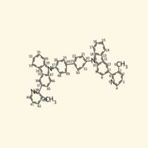 Cc1cccnc1-c1ccc2c(c1)c1ccccc1n2-c1ccc(-c2ccc(-n3c4ccccc4c4cc(-c5ncccc5C)ccc43)cc2)cc1